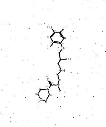 CN(CCNC[C@H](O)COc1cc(F)c(O)cc1F)C(=O)N1CCOCC1